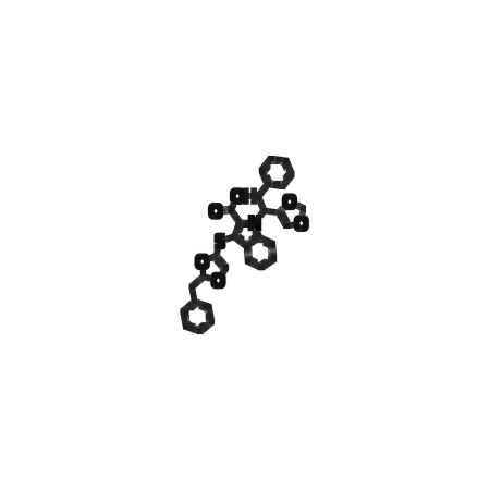 O=C(O)c1c(SC2=COC(Cc3ccccc3)O2)c2ccccc2n1C(Cc1ccccc1)C1=COCO1